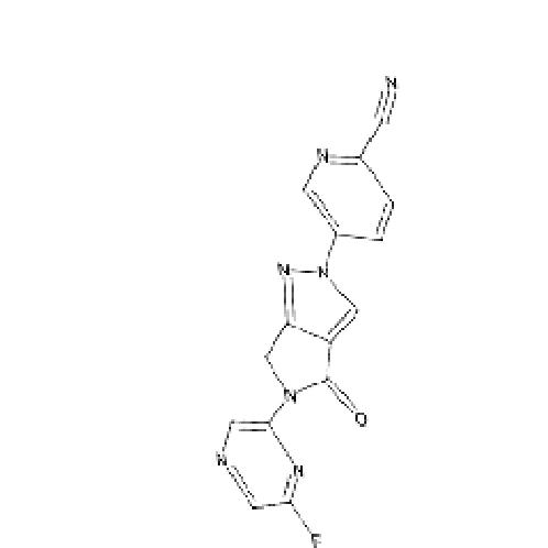 N#Cc1ccc(-n2cc3c(n2)CN(c2cncc(F)n2)C3=O)cn1